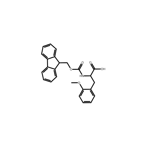 COc1ccccc1CC(NC(=O)OCC1c2ccccc2-c2ccccc21)C(=O)O